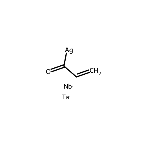 C=C[C](=O)[Ag].[Nb].[Ta]